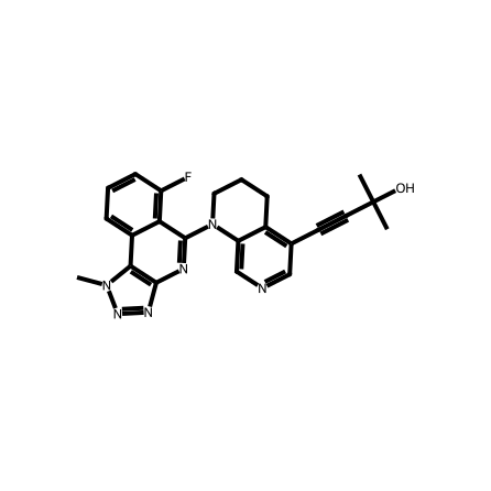 Cn1nnc2nc(N3CCCc4c(C#CC(C)(C)O)cncc43)c3c(F)cccc3c21